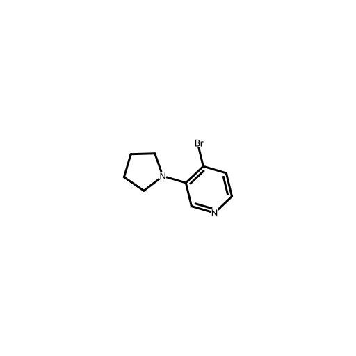 Brc1ccncc1N1CCCC1